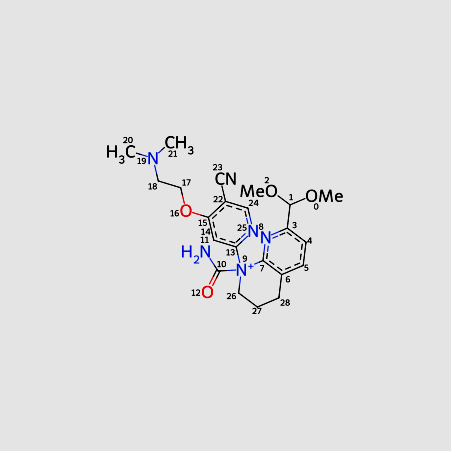 COC(OC)c1ccc2c(n1)[N+](C(N)=O)(c1cc(OCCN(C)C)c(C#N)cn1)CCC2